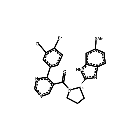 CSc1ccc2nc([C@@H]3CCCN3C(=O)c3cncnc3-c3ccc(Br)c(Cl)c3)[nH]c2c1